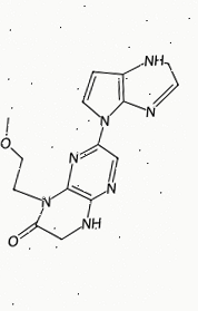 COCCN1C(=O)CNc2ncc(-n3ccc4c3N=CCN4)nc21